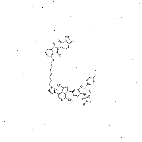 C[C@H](Oc1cc(-c2nn(C)c3c(-c4cnn(CCCCCCCOc5cccc6c5C(=O)N(C5CCC(=O)N(C)C5=O)C6=O)c4)cnc(N)c23)ccc1NS(=O)(=O)C(F)F)c1ccc(F)cc1